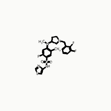 Cc1cc(S(=O)(=O)Nc2cscn2)c(F)cc1N(C)C1CCN(Cc2cccc(F)c2F)C1